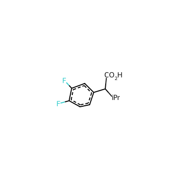 CC(C)C(C(=O)O)c1ccc(F)c(F)c1